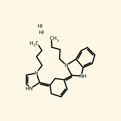 CCCCN1C=CNC1=C1CC=CC(=C2Nc3ccccc3N2CCCC)C1.I.I